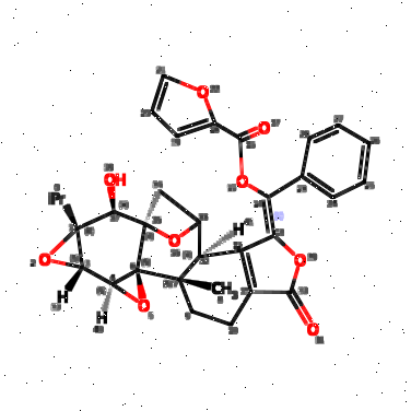 CC(C)[C@]12O[C@H]1[C@@H]1O[C@@]13[C@@]1(C)CCC4=C(/C(=C(\OC(=O)c5ccco5)c5ccccc5)OC4=O)[C@@H]1C1C[C@@]3(O1)[C@@H]2O